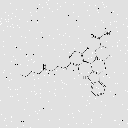 Cc1c(OCCNCCCF)ccc(F)c1[C@@H]1c2[nH]c3ccccc3c2C[C@@H](C)N1CC(C)C(=O)O